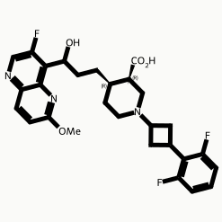 COc1ccc2ncc(F)c(C(O)CC[C@@H]3CCN(C4CC(c5c(F)cccc5F)C4)C[C@@H]3C(=O)O)c2n1